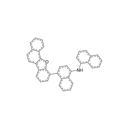 c1ccc2c(Nc3ccc(-c4cccc5c4oc4c6ccccc6ccc54)c4ccccc34)cccc2c1